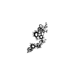 CSCC[C@H](NC(=O)c1ccc(COCc2ccc(-c3cccc(C(F)(F)F)c3)o2)cc1-c1ccccc1C)C(=O)[O-].[Li+]